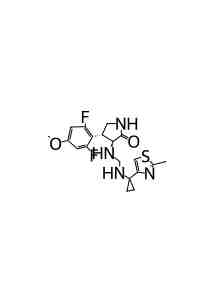 COc1cc(F)c([C@@H]2CNC(=O)[C@H]2NCNC2(c3csc(C)n3)CC2)c(F)c1